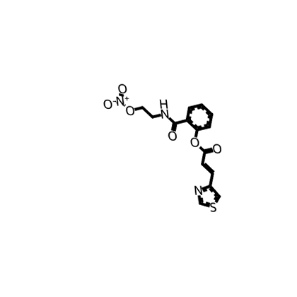 O=C(C=Cc1cscn1)Oc1ccccc1C(=O)NCCO[N+](=O)[O-]